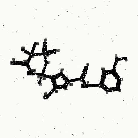 COc1cccc(NC(=O)c2cc(Cl)c([C@]3(C)CS(=O)(=O)C(C)(C)C(=N)N3)s2)n1